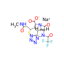 CNC(=O)CC(Sn1cnnn1)C1=C(C(=O)[O-])N2C(=O)[C@@H]3[C@H]2C1CCN3C(=O)C(F)(F)F.[Na+]